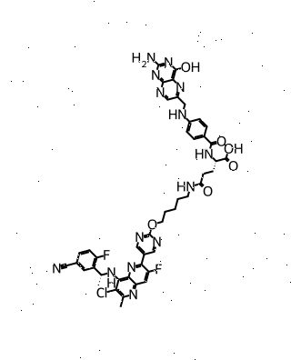 Cc1nc2cc(F)c(-c3cnc(OCCCCCNC(=O)CC[C@H](NC(=O)c4ccc(NCc5cnc6nc(N)nc(O)c6n5)cc4)C(=O)O)nc3)nc2c(N[C@H](C)c2cc(C#N)ccc2F)c1Cl